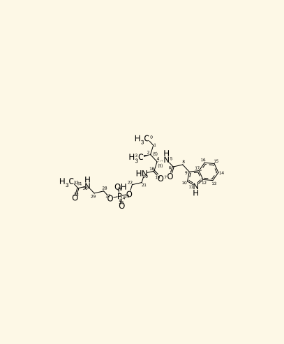 CC[C@H](C)[C@H](NC(=O)Cc1c[nH]c2ccccc12)C(=O)NCCOP(=O)(O)OCCNC(C)=O